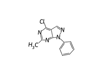 Cc1nc(Cl)c2cnn(-c3ccccc3)c2n1